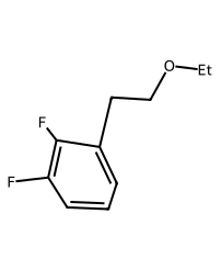 CCOCCc1cccc(F)c1F